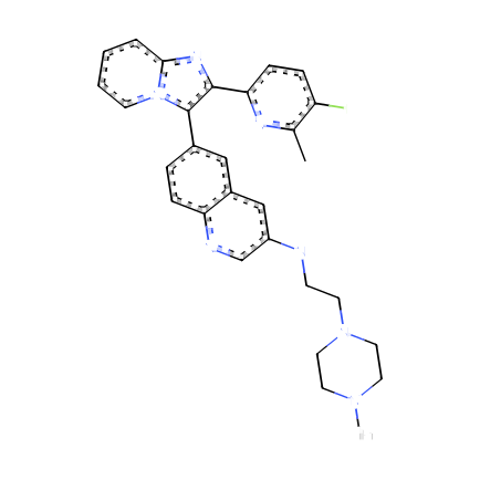 Cc1nc(-c2nc3ccccn3c2-c2ccc3ncc(NCCN4CCN(C(C)C)CC4)cc3c2)ccc1F